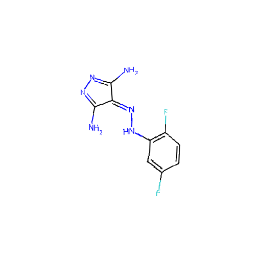 NC1=NN=C(N)C1=NNc1cc(F)ccc1F